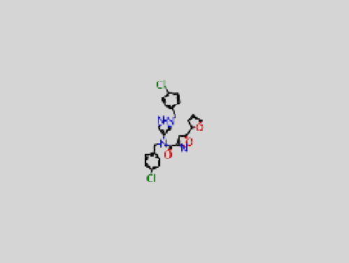 O=C(c1cc(-c2ccco2)on1)N(Cc1ccc(Cl)cc1)c1cnn(Cc2ccc(Cl)cc2)c1